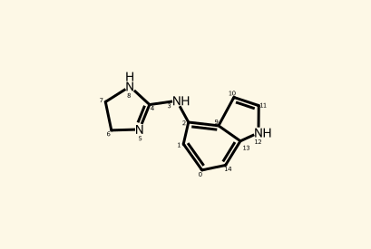 c1cc(NC2=NCCN2)c2cc[nH]c2c1